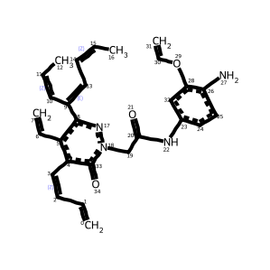 C=C/C=C\c1c(C=C)c(C(/C=C\C)=C/C=C\C)nn(CC(=O)Nc2ccc(N)c(OC=C)c2)c1=O